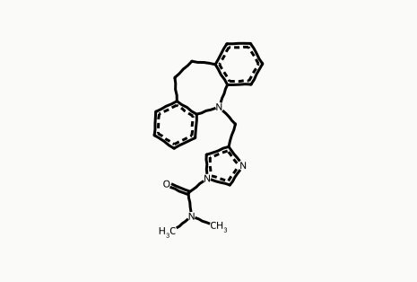 CN(C)C(=O)n1cnc(CN2c3ccccc3CCc3ccccc32)c1